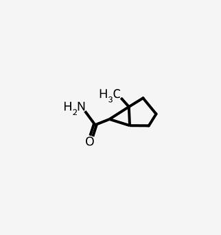 CC12CCCC1C2C(N)=O